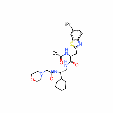 CCC(=O)N[C@@H](Cc1nc2ccc(C(C)C)cc2s1)C(=O)NC[C@@H](NC(=O)CN1CCOCC1)C1CCCCC1